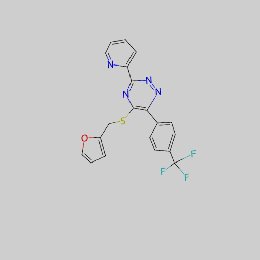 FC(F)(F)c1ccc(-c2nnc(-c3ccccn3)nc2SCc2ccco2)cc1